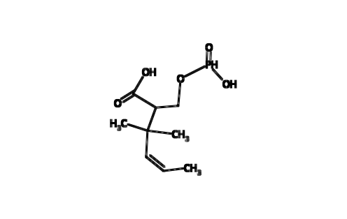 C/C=C\C(C)(C)C(CO[PH](=O)O)C(=O)O